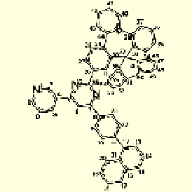 c1cncc(-c2cc(-c3ccc(-c4cccc5ccccc45)cc3)nc(-c3ccc4c(c3)C3(c5ccccc5-c5ccccc5-4)c4ccccc4-c4ccccc43)n2)c1